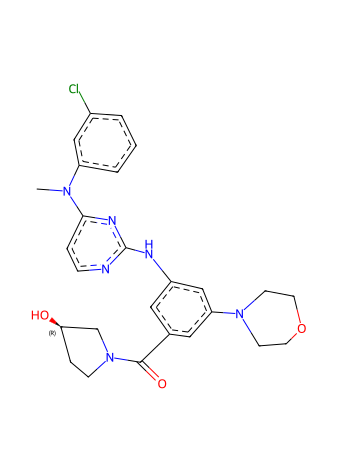 CN(c1cccc(Cl)c1)c1ccnc(Nc2cc(C(=O)N3CC[C@@H](O)C3)cc(N3CCOCC3)c2)n1